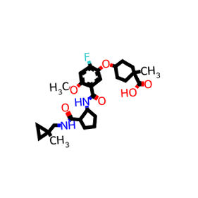 COc1cc(F)c(OC2CCC(C)(C(=O)O)CC2)cc1C(=O)NC1CCCC1C(=O)NCC1(C)CC1